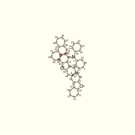 c1cc(-c2ccc3c(c2)oc2ccccc23)cc(N(c2ccccc2-c2cc3ccccc3c3ccccc23)c2cccc3oc4ccccc4c23)c1